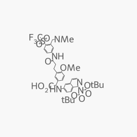 CNCc1cc(NC(=O)CCc2cc(C(Nc3ccc4c(N(C(=O)OC(C)(C)C)C(=O)OC(C)(C)C)nccc4c3)C(=O)O)ccc2OC)ccc1S(=O)(=O)C(F)(F)F